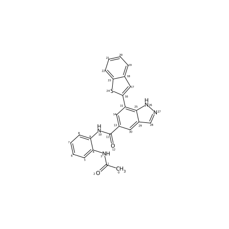 CC(=O)Nc1ccccc1NC(=O)c1cc(-c2cc3ccccc3s2)c2[nH]ncc2c1